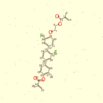 C=C(C)C(=O)OCCOc1ccc(-c2ccc(-c3ccc(OC(=O)C(=C)C)c(C)c3)cc2F)cc1F